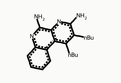 CCCCc1c(N)nc2c(N)nc3ccccc3c2c1CCCC